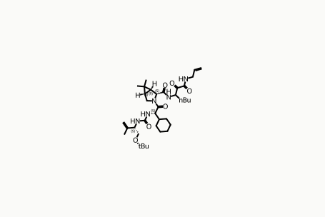 C=CCNC(=O)C(=O)C(CCCC)NC(=O)[C@@H]1[C@@H]2[C@H](CN1C(=O)[C@@H](NC(=O)N[C@H](COC(C)(C)C)C(=C)C)C1CCCCC1)C2(C)C